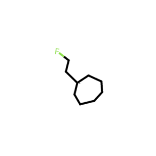 FCC[C]1CCCCCC1